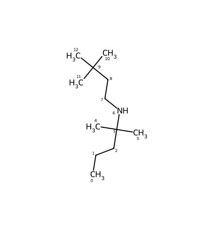 CCCC(C)(C)NCCC(C)(C)C